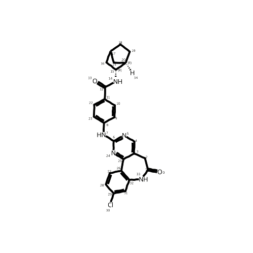 O=C1Cc2cnc(Nc3ccc(C(=O)N[C@@H]4CC5CC[C@@H]4C5)cc3)nc2-c2ccc(Cl)cc2N1